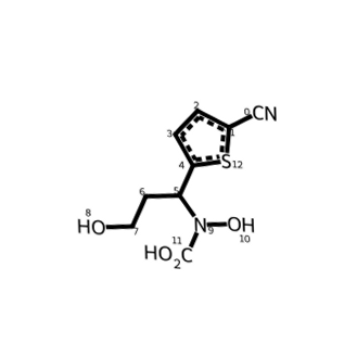 N#Cc1ccc(C(CCO)N(O)C(=O)O)s1